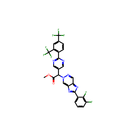 COC(=O)C(c1cnc(-c2ccc(C(F)(F)F)cc2C(F)(F)F)nc1)n1cc2nc(-c3cccc(F)c3F)nc-2cn1